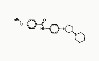 CCCCOc1ccc(C(=O)Nc2ccc(N3CCC(N4CCCCC4)C3)cc2)cc1